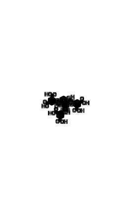 O=C(O)c1cc(NS(=O)(=O)c2cc(S(=O)(=O)Nc3cc(C(=O)O)cc(C(=O)O)c3)c3c(Cl)ccc(S(=O)(=O)Nc4cc(C(=O)O)cc(C(=O)O)c4)c3c2)cc(C(=O)O)c1